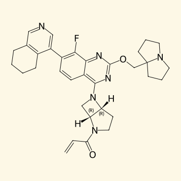 C=CC(=O)N1CC[C@@H]2[C@H]1CN2c1nc(OCC23CCCN2CCC3)nc2c(F)c(-c3cncc4c3CCCC4)ccc12